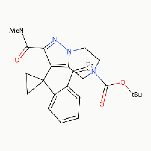 C=Cc1ccccc1C1(c2c(C(=O)NC)nn3c2CN(C(=O)OC(C)(C)C)CC3)CC1